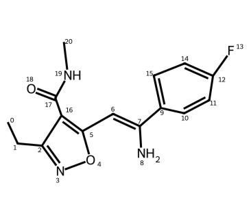 CCc1noc(/C=C(\N)c2ccc(F)cc2)c1C(=O)NC